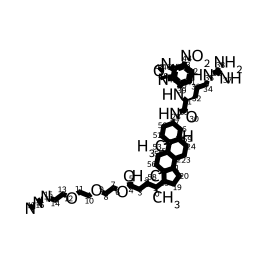 C[C@H](CCC(=O)OCCOCCOCCN=[N+]=[N-])C1CCC2C3CC[C@@H]4C[C@H](NC(=O)[C@H](CCCNC(=N)N)Nc5ccc([N+](=O)[O-])c6nonc56)CC[C@]4(C)C3CC[C@@]21C